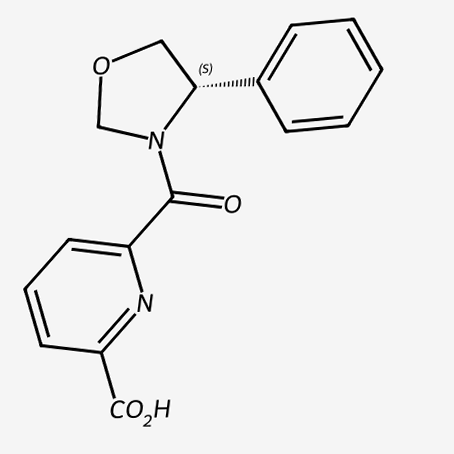 O=C(O)c1cccc(C(=O)N2COC[C@@H]2c2ccccc2)n1